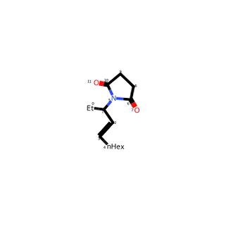 [CH2]CC(C=CCCCCCC)N1C(=O)CCC1=O